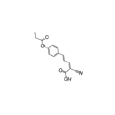 CCC(=O)Oc1ccc(C=CC=C(C#N)C(=O)O)cc1